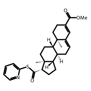 COC(=O)C1=CC2=CC[C@H]3[C@@H]4CC[C@H](C(=O)Sc5ccccn5)[C@@]4(C)CC[C@@H]3[C@@]2(C)CC1